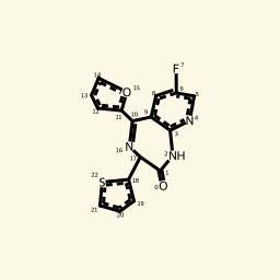 O=C1Nc2ncc(F)cc2C(c2ccco2)=NC1c1cccs1